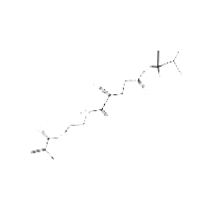 C=C(C)C(=O)OCCNC(=O)C(=O)CCC(=O)OC(C)(C)C(C)C